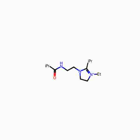 CC[N+]1=C(C(C)C)N(CCNC(=O)C(C)C)CC1